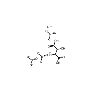 O=C(O)C(O)C(O)C(=O)O.O=[N+]([O-])[O-].O=[N+]([O-])[O-].O=[N+]([O-])[O-].[Al+3]